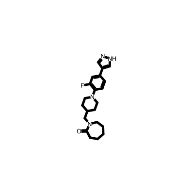 O=C1CCCCCN1CC1CCN(c2ccc(-c3cn[nH]c3)cc2F)CC1